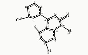 CCc1cc(C)c2c(-c3cccc(Cl)c3)cc(=O)n(CC)c2n1